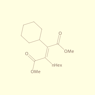 CCCCCCC(C(=O)OC)=C(C(=O)OC)C1CCCCC1